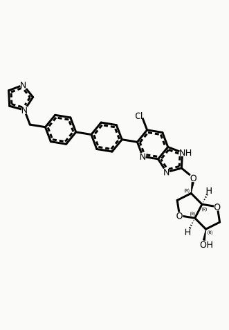 O[C@@H]1CO[C@H]2[C@@H]1OC[C@H]2Oc1nc2nc(-c3ccc(-c4ccc(Cn5ccnc5)cc4)cc3)c(Cl)cc2[nH]1